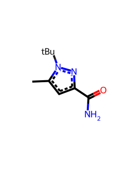 Cc1cc(C(N)=O)nn1C(C)(C)C